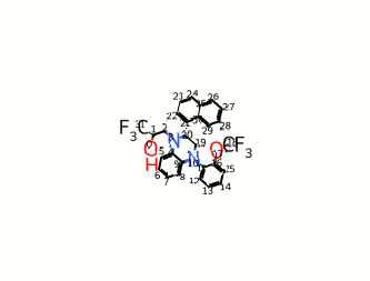 O[C@H](CN1c2ccccc2N(c2ccccc2OC(F)(F)F)C[C@H]1c1cccc2ccccc12)C(F)(F)F